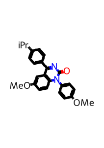 COc1ccc(-n2c(=O)nc(-c3ccc(C(C)C)cc3)c3cc(OC)ccc32)cc1